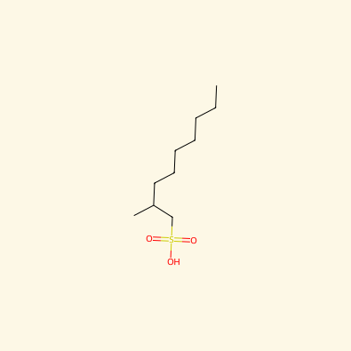 CCCCCCCC(C)CS(=O)(=O)O